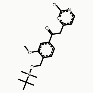 COc1cc(C(=O)Cc2ccnc(Cl)n2)ccc1CO[Si](C)(C)C(C)(C)C